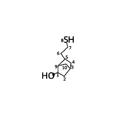 OC1CC2CC(CCS)C1C2